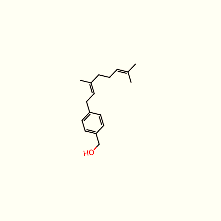 CC(C)=CCC/C(C)=C/Cc1ccc(CO)cc1